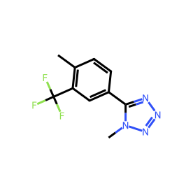 Cc1ccc(-c2nnnn2C)cc1C(F)(F)F